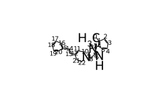 Cc1cccc2[nH]c(CN3CC=C(C=Cc4ccccc4)CC3)nc12